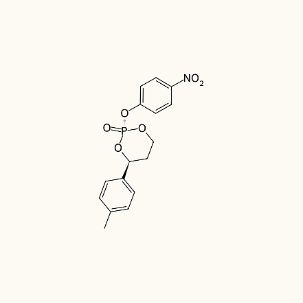 Cc1ccc([C@@H]2CCO[P@@](=O)(Oc3ccc([N+](=O)[O-])cc3)O2)cc1